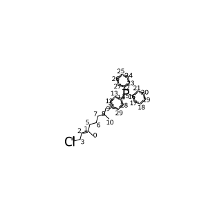 C/C(=C\CCl)CCCC(C)C.c1ccc(P(c2ccccc2)c2ccccc2)cc1